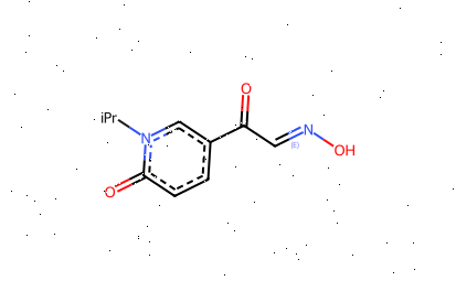 CC(C)n1cc(C(=O)/C=N/O)ccc1=O